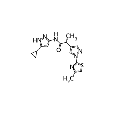 Cc1csc(-n2cc([C@H](C)C(=O)Nc3cc(C4CC4)[nH]n3)cn2)n1